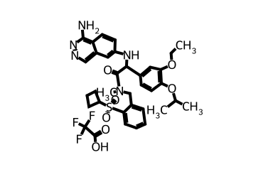 CCOc1cc(C(Nc2ccc3c(N)nncc3c2)C(=O)N(C)Cc2ccccc2S(=O)(=O)C2CCC2)ccc1OC(C)C.O=C(O)C(F)(F)F